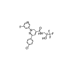 O=C(NC[C@H](O)C(F)(F)F)C1=CC(c2ccc(Cl)cc2)=NN(c2cncc(F)c2)C1